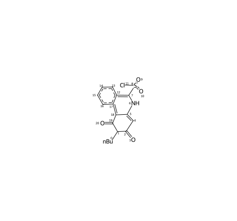 CCCCC1C(=O)C=C2NC(S(=O)(=O)Cl)=c3ccccc3=C2C1=O